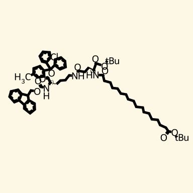 Cc1ccc(C(OC(=O)[C@H](CCCCNC(=O)CC[C@H](NC(=O)CCCCCCCCCCCCCCCCC(=O)OC(C)(C)C)C(=O)OC(C)(C)C)NC(=O)OCC2c3ccccc3-c3ccccc32)(c2ccccc2)c2ccccc2Cl)cc1